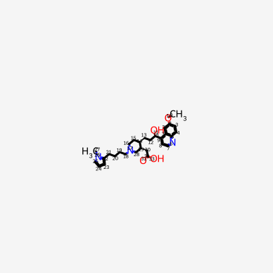 COc1ccc2nccc([C@H](O)CC[C@@H]3CCN(CCCCc4cccn4C)C[C@@H]3CC(=O)O)c2c1